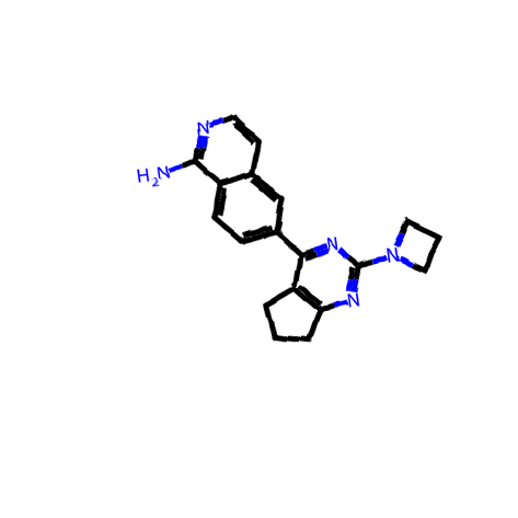 Nc1nccc2cc(-c3nc(N4CCC4)nc4c3CCC4)ccc12